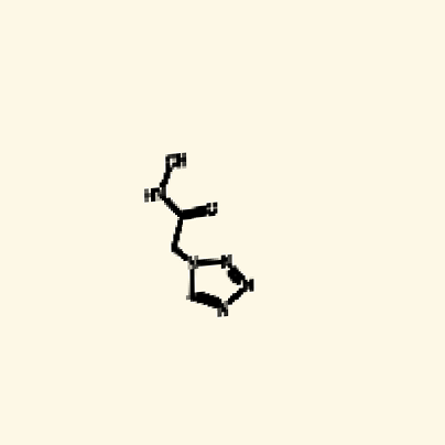 O=C(Cn1[c]nnn1)NO